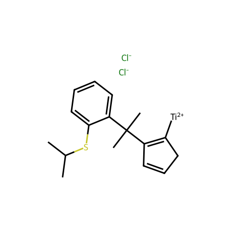 CC(C)Sc1ccccc1C(C)(C)C1=[C]([Ti+2])CC=C1.[Cl-].[Cl-]